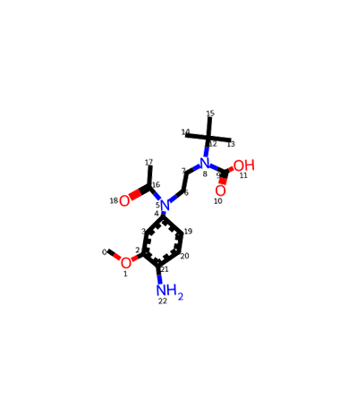 COc1cc(N(CCN(C(=O)O)C(C)(C)C)C(C)=O)ccc1N